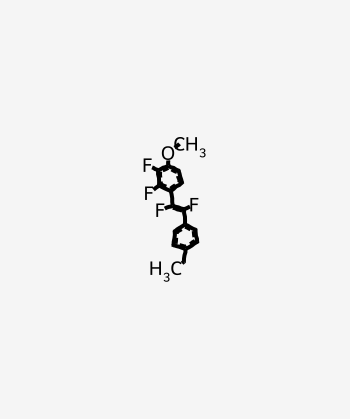 CCc1ccc(/C(F)=C(\F)c2ccc(OC)c(F)c2F)cc1